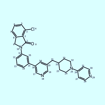 O=C1c2c(Cl)cccc2CN1c1cccc(-c2cncc(CC3CCN(c4ccncc4)CC3)c2)c1